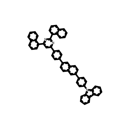 c1ccc2c(-c3cc(-c4ccc(-c5ccc6cc(-c7ccc(-n8c9ccccc9c9ccccc98)cc7)ccc6c5)cc4)nc(-c4cccc5ccccc45)n3)cccc2c1